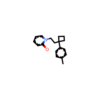 Cc1ccc(C2(CCn3ccccc3=O)CCC2)cc1